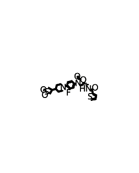 O=C(NC[C@H]1CN(c2ccc(N3CCC(C4CS(=O)(=O)C4)CC3)c(F)c2)C(=O)O1)c1cccs1